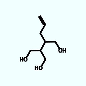 C=CCC(CO)C(CO)CO